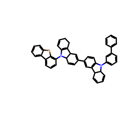 C1=CC2c3cc(C4=CC5C6=C(C=CCC6)N(c6cccc7c6sc6ccccc67)C5C=C4)ccc3N(c3cccc(-c4ccccc4)c3)C2C=C1